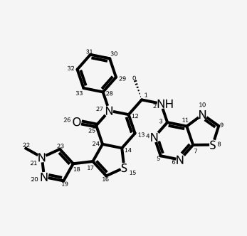 C[C@H](Nc1ncnc2scnc12)C1=CC2SC=C(c3cnn(C)c3)C2C(=O)N1c1ccccc1